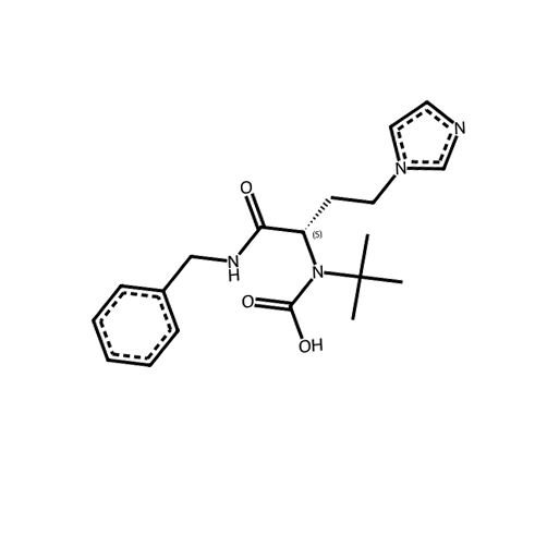 CC(C)(C)N(C(=O)O)[C@@H](CCn1ccnc1)C(=O)NCc1ccccc1